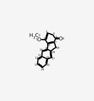 COC1=CCC(=O)C2=C1c1cc3ccccc3cc1C2